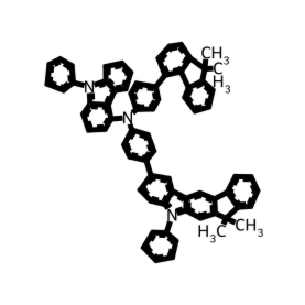 CC1(C)c2ccccc2-c2cc3c4cc(-c5ccc(N(c6ccc(-c7cccc8c7-c7ccccc7C8(C)C)cc6)c6cccc7c6c6ccccc6n7-c6ccccc6)cc5)ccc4n(-c4ccccc4)c3cc21